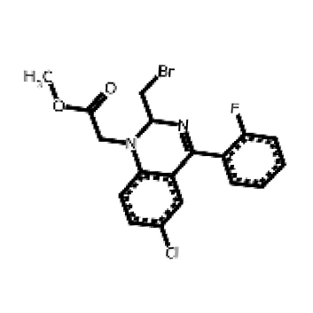 COC(=O)CN1c2ccc(Cl)cc2C(c2ccccc2F)=NC1CBr